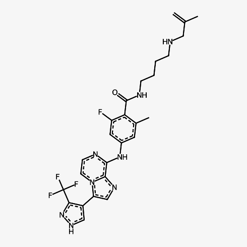 C=C(C)CNCCCCNC(=O)c1c(C)cc(Nc2nccn3c(-c4c[nH]nc4C(F)(F)F)cnc23)cc1F